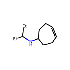 CCC(CC)NC1CCC=CCC1